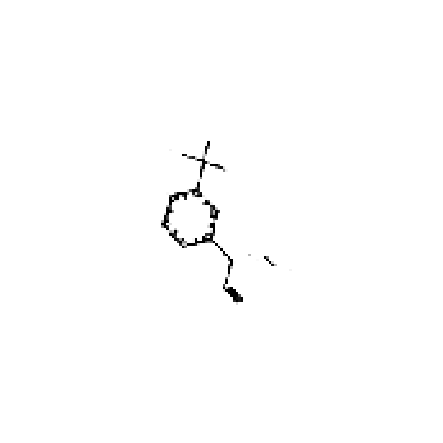 C=C[C@@H](NC)c1cccc(C(F)(F)F)c1